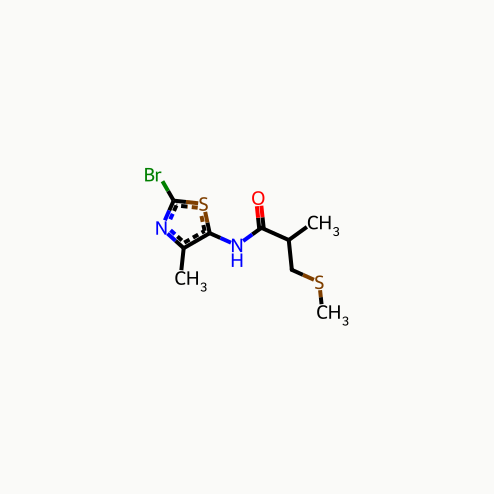 CSCC(C)C(=O)Nc1sc(Br)nc1C